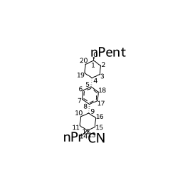 CCCCC[C@H]1CC[C@H](c2ccc([C@H]3CC[C@@](C#N)(CCC)CC3)cc2)CC1